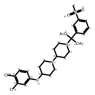 CC(=O)OC(OC(C)=O)(c1cccc(S(C)(=O)=O)c1)N1CCC(N2CCC(Oc3ccc(Cl)c(Cl)c3)CC2)CC1